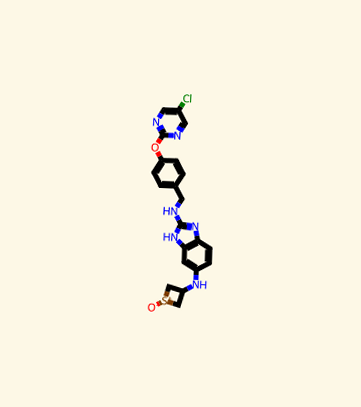 [O-][S+]1CC(Nc2ccc3nc(NCc4ccc(Oc5ncc(Cl)cn5)cc4)[nH]c3c2)C1